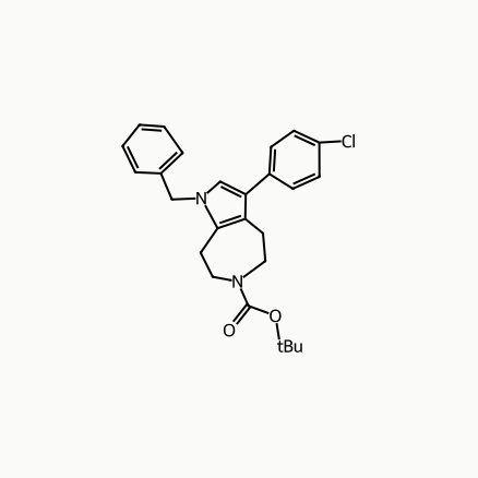 CC(C)(C)OC(=O)N1CCc2c(-c3ccc(Cl)cc3)cn(Cc3ccccc3)c2CC1